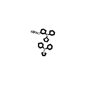 C1=CC(P(c2ccccc2)c2ccccc2)C=C1.[Cl][Pd][Cl].[Fe+2].c1ccc(P(c2ccccc2)[c-]2cccc2)cc1